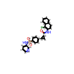 O=C(Nc1ccc2ccccc2c1F)[C@@H]1C[C@H]1c1ccc(S(=O)(=O)Nc2cccnc2)cc1